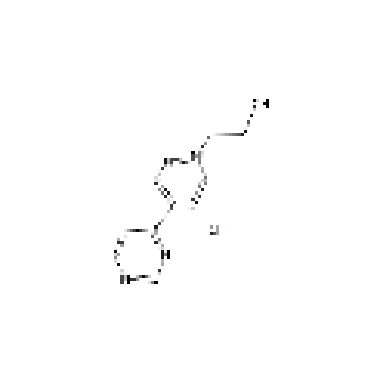 N#CCC[n+]1ccc(-c2ccncn2)cn1.[Cl-]